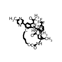 CC(=O)c1nn2c3c(cc(-c4cnc(C)cn4)cc13)CCC/C=C/CCCC(=O)NC[C@@]13C[C@@H](C(=O)Nc4nc(C(F)(F)F)ccc4C)N(C(=O)C2)C1C3C